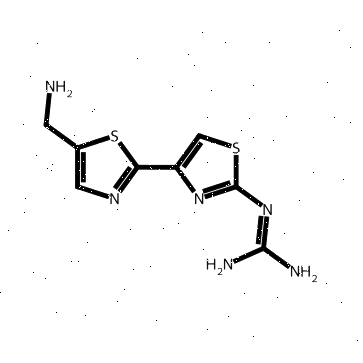 NCc1cnc(-c2csc(N=C(N)N)n2)s1